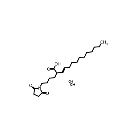 CCCCCCCCCCC=CC(CCCCN1C(=O)CCC1=O)C(=O)O.[KH].[KH]